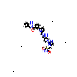 O=C1NC(=O)C(=Cc2ccnc(N3CCC(CNCc4cccc(-c5cccc(C(=O)NCc6ccccc6)c5)n4)CC3)n2)S1